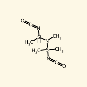 CN([SiH](C)N=C=O)[Si](C)(C)N=C=O